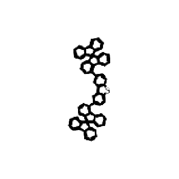 c1ccc2c(c1)-c1ccccc1C21c2ccccc2-c2c(-c3ccc4sc5ccc(-c6cccc7c6-c6ccccc6C76c7ccccc7-c7ccccc76)cc5c4c3)cccc21